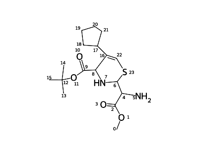 COC(=O)C(N)C1NC(C(=O)OC(C)(C)C)C(C2CCCC2)=CS1